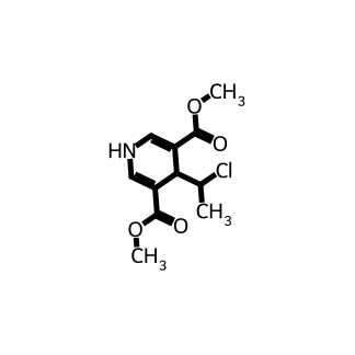 COC(=O)C1=CNC=C(C(=O)OC)C1C(C)Cl